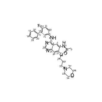 CC(=O)Nc1cc2c(Nc3ccc(F)c(-c4ccccc4)c3)ncnc2cc1OCCCN1CCOCC1